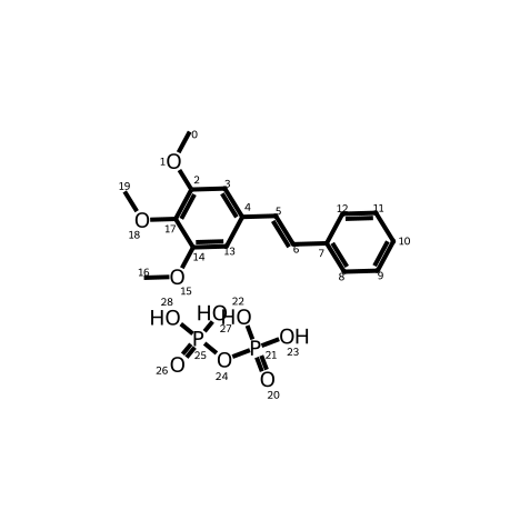 COc1cc(C=Cc2ccccc2)cc(OC)c1OC.O=P(O)(O)OP(=O)(O)O